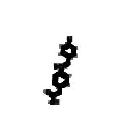 O=C(O)Cc1ccc(NCc2ccc(Cl)cc2)cc1